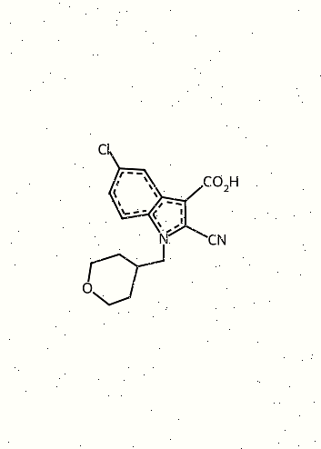 N#Cc1c(C(=O)O)c2cc(Cl)ccc2n1CC1CCOCC1